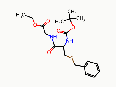 CCOC(=O)CNC(=O)C(CSCc1ccccc1)NC(=O)OC(C)(C)C